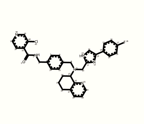 O=C(NCc1ccc(CN(Cc2nc(-c3ccc(F)cc3)c[nH]2)C2CCCc3cccnc32)cc1)c1ccncc1Cl